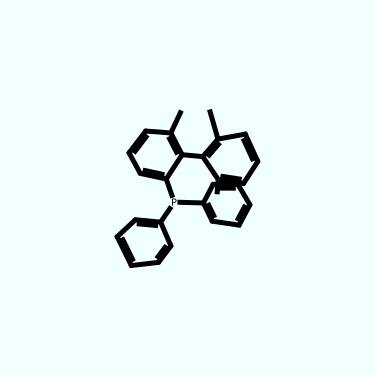 Cc1cccc(C)c1-c1c(C)cccc1P(c1ccccc1)c1ccccc1